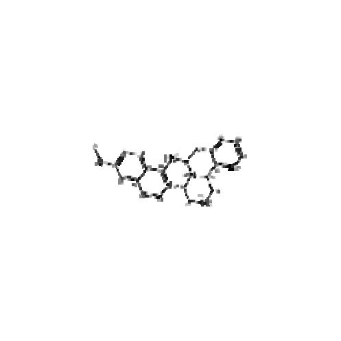 COc1ccc2c(NC(C)N3CCNCC3c3ncccn3)nccc2c1